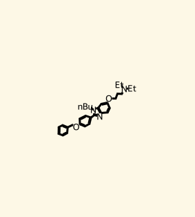 CCCCn1c(-c2ccc(OCc3ccccc3)cc2)nc2ccc(OCCCN(CC)CC)cc21